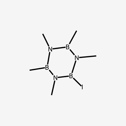 CB1N(C)B(C)N(C)B(I)N1C